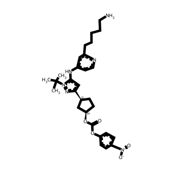 CC(C)(C)n1nc([C@H]2CC[C@@H](OC(=O)Oc3ccc([N+](=O)[O-])cc3)C2)cc1Nc1ccnc(CCCCCN)c1